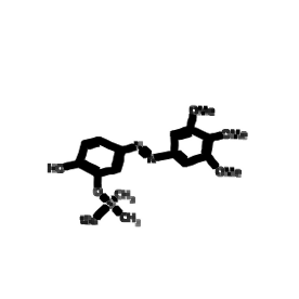 COc1cc(N=Nc2ccc(O)c(O[Si](C)(C)C(C)(C)C)c2)cc(OC)c1OC